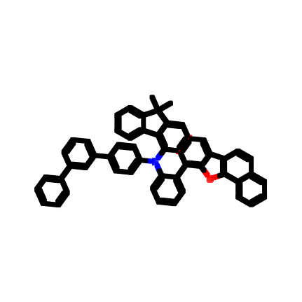 CC1(C)c2ccccc2-c2c(N(c3ccc(-c4cccc(-c5ccccc5)c4)cc3)c3ccccc3-c3cccc4c3oc3c5ccccc5ccc43)cccc21